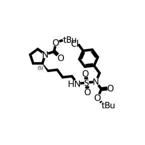 CC(C)(C)OC(=O)N1CCC[C@@H]1CCCCNS(=O)(=O)N(Cc1ccc(Cl)cc1)C(=O)OC(C)(C)C